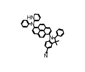 CC1(C)c2cc(C#N)ccc2N(c2ccc3ccc4c(N(C5=CC=CCN5)c5ccccc5)ccc5ccc2c3c54)C1c1ccccc1